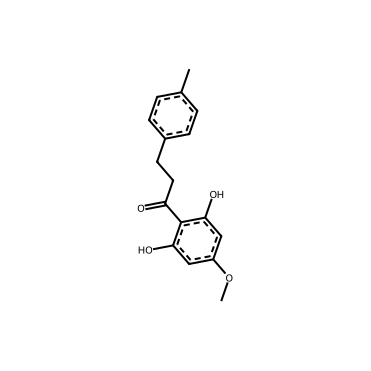 COc1cc(O)c(C(=O)CCc2ccc(C)cc2)c(O)c1